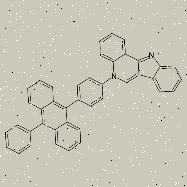 c1ccc(-c2c3ccccc3c(-c3ccc(-n4cc5c6ccccc6nc-5c5ccccc54)cc3)c3ccccc23)cc1